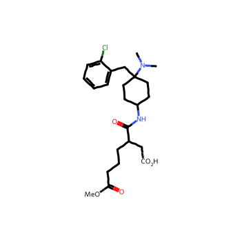 COC(=O)CCCC(CC(=O)O)C(=O)NC1CCC(Cc2ccccc2Cl)(N(C)C)CC1